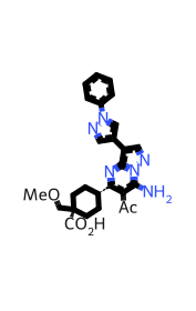 COC[C@]1(C(=O)O)CC[C@H](c2nc3c(-c4cnn(-c5ccccc5)c4)cnn3c(N)c2C(C)=O)CC1